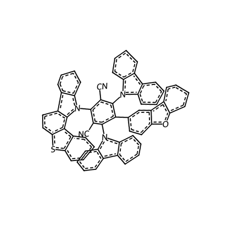 N#Cc1c(-n2c3ccccc3c3ccccc32)c(-c2ccc3oc4ccccc4c3c2)c(-n2c3ccccc3c3ccccc32)c(C#N)c1-n1c2ccccc2c2ccc3sc4ccccc4c3c21